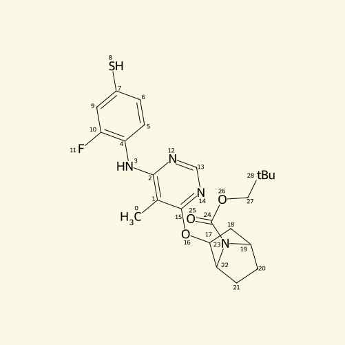 Cc1c(Nc2ccc(S)cc2F)ncnc1OC1CC2CCC1N2C(=O)OCC(C)(C)C